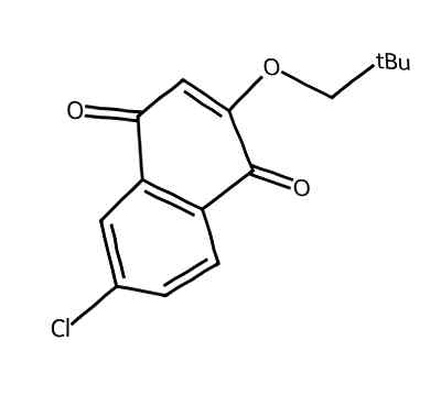 CC(C)(C)COC1=CC(=O)c2cc(Cl)ccc2C1=O